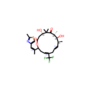 C/C(=C/c1csc(C)n1)C1C/C=C(/C(F)(F)F)C/C=C/[C@H](C)[C@H](O)[C@@H](C)C(=O)C(C)(C)[C@@H](O)CC(=O)O1